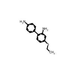 CCSc1ccc(-c2ccc(N)cc2)c(N)c1